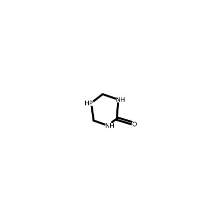 O=C1NCPCN1